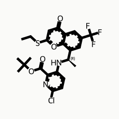 CCSc1cc(=O)c2cc(C(F)(F)F)cc([C@@H](C)Nc3ccc(Cl)nc3C(=O)OC(C)(C)C)c2o1